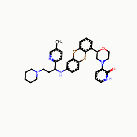 Cc1ccc(C(CCN2CCCCC2)Nc2ccc3c(c2)Sc2cccc(C4CN(c5ccc[nH]c5=O)CCO4)c2S3)nc1